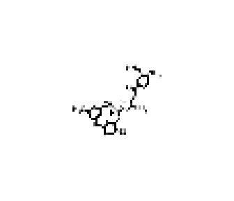 CCc1cnc(Nc2cc(C)cc(C)c2)nc1CNC(CC)CC(C)CCC(=O)c1ccc(N)c(C=N)c1